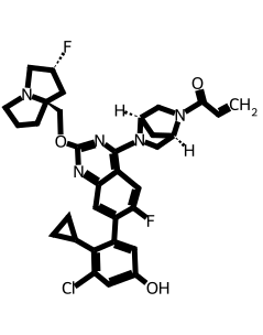 C=CC(=O)N1C[C@H]2C[C@@H]1CN2c1nc(OC[C@@]23CCCN2C[C@H](F)C3)nc2cc(-c3cc(O)cc(Cl)c3C3CC3)c(F)cc12